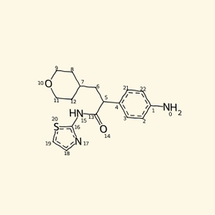 Nc1ccc(C(CC2CCOCC2)C(=O)Nc2nccs2)cc1